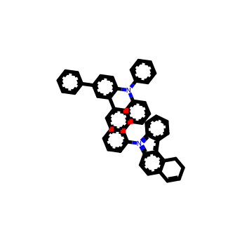 C1=Cc2ccc3c(c2CC1)c1ccccc1n3-c1ccccc1-c1cccc(N(c2ccccc2)c2ccc(-c3ccccc3)cc2-c2ccccc2)c1